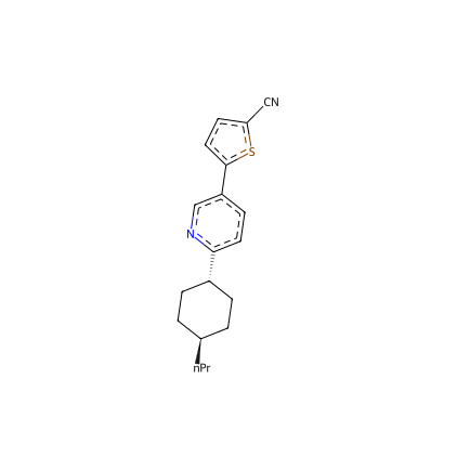 CCC[C@H]1CC[C@H](c2ccc(-c3ccc(C#N)s3)cn2)CC1